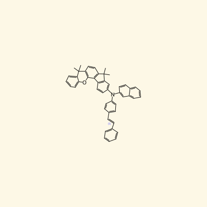 CC1(C)c2ccccc2Oc2c1ccc1c2-c2ccc(N(c3ccc(/C=C/c4ccccc4)cc3)c3ccc4ccccc4c3)cc2C1(C)C